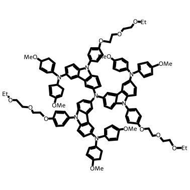 CCOCCOCCOc1ccc(-n2c3ccc(N(C4=CC=C(OC)CC4)c4ccc(OC)cc4)cc3c3cc(N(c4ccc5c(c4)c4cc(N(c6ccc(OC)cc6)c6ccc(OC)cc6)ccc4n5-c4ccc(OCCOCCOCC)cc4)c4ccc5c(c4)c4cc(N(C6=CCC(OC)C=C6)C6C=CC(OC)=CC6)ccc4n5-c4ccc(OCCOCCOCC)cc4)ccc32)cc1